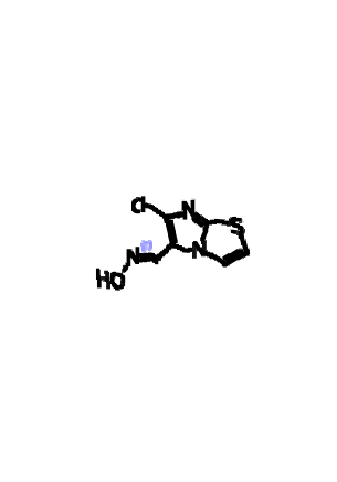 O/N=C/c1c(Cl)nc2sccn12